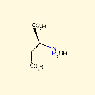 N[C@@H](CC(=O)O)C(=O)O.[LiH]